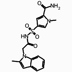 Cc1cc2ccccc2n1CC(=O)NS(=O)(=O)c1cc(C(N)=O)n(C)c1